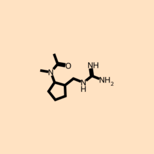 CC(=O)N(C)C1CCCC1CNC(=N)N